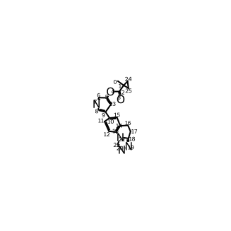 CC1(C(=O)Oc2cncc(-c3ccc4c(c3)CCc3nncn3-4)c2)CC1